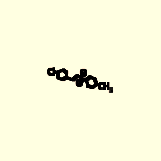 Cc1ccc(S(=O)(=O)C=Cc2ccc(Cl)cc2)cc1